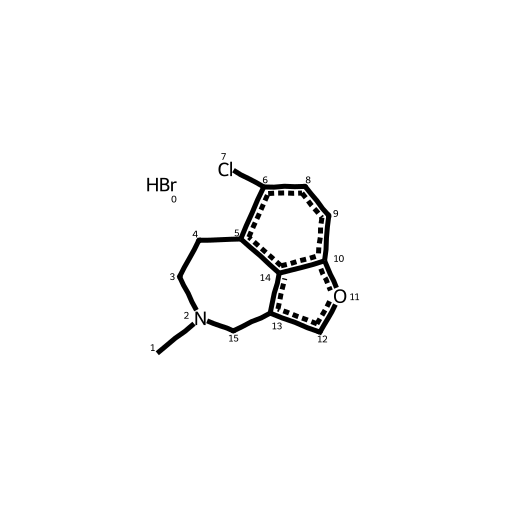 Br.CN1CCc2c(Cl)ccc3occ(c23)C1